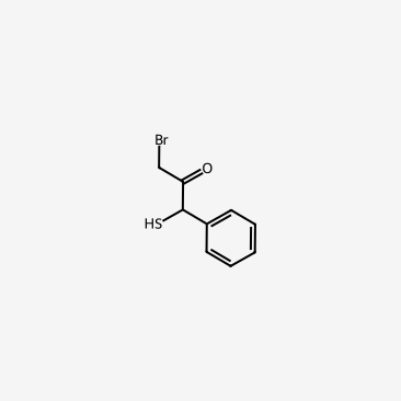 O=C(CBr)C(S)c1ccccc1